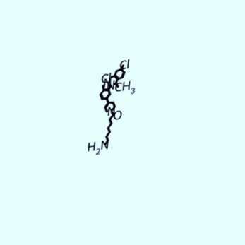 CC(C1=C(Cl)CC(Cl)C=C1)n1ncc2ccc(C3=CCN(C(=O)CCCCCCN)CC3)cc21